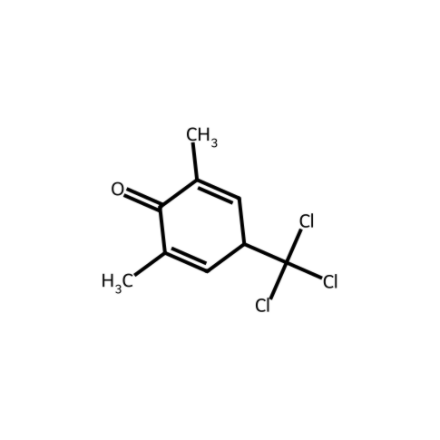 CC1=CC(C(Cl)(Cl)Cl)C=C(C)C1=O